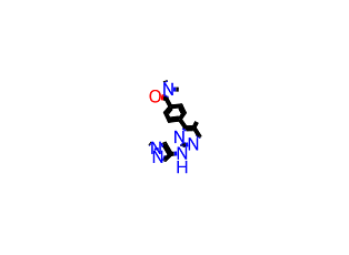 Cc1cnc(Nc2cnn(C)c2)nc1-c1ccc(C(=O)N(C)C)cc1